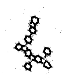 C1=CC2c3cc4c(cc3N(c3ccccc3)C2C=C1)c1cc2c(cc1n4-c1ccccc1)c1ccccc1n2-c1ccc(-c2ccc3c(c2)sc2ccccc23)cc1